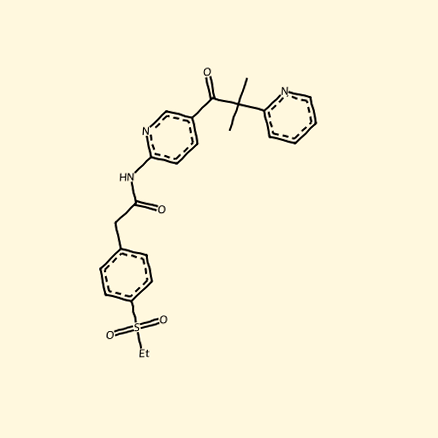 CCS(=O)(=O)c1ccc(CC(=O)Nc2ccc(C(=O)C(C)(C)c3ccccn3)cn2)cc1